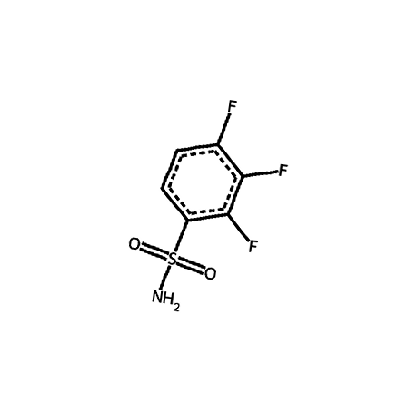 NS(=O)(=O)c1ccc(F)c(F)c1F